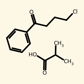 CC(C)C(=O)O.O=C(CCCCl)c1ccccc1